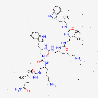 CC(C)[C@@H](CCC(N)=O)NC(=O)NC[C@H](CCCCN)NC(=O)NC[C@H](Cc1c[nH]c2ccccc12)NC(=O)NC[C@H](CCCCN)NC(=O)NC[C@@H](NC(=O)NC[C@@H](C)Cc1c[nH]c2ccccc12)C(C)C